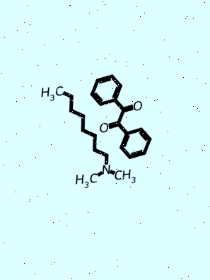 CCCCCCCCN(C)C.O=C(C(=O)c1ccccc1)c1ccccc1